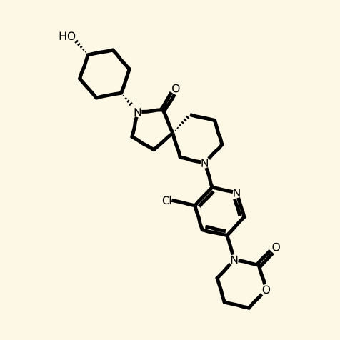 O=C1OCCCN1c1cnc(N2CCC[C@@]3(CCN([C@H]4CC[C@@H](O)CC4)C3=O)C2)c(Cl)c1